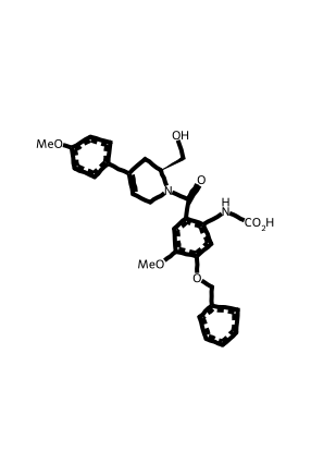 COc1ccc(C2=CCN(C(=O)c3cc(OC)c(OCc4ccccc4)cc3NC(=O)O)[C@H](CO)C2)cc1